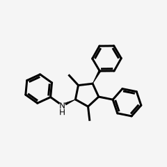 CC1C(c2ccccc2)[C@H](c2ccccc2)C(C)[C@@H]1Nc1ccccc1